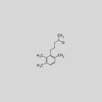 [CH2]c1ccc(C)c(C)c1CCCC(C)[O]